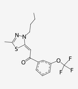 CCCCN1N=C(C)SC1=CC(=O)c1cccc(OC(F)(F)F)c1